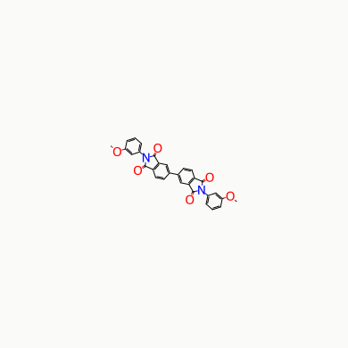 COc1cccc(N2C(=O)c3ccc(-c4ccc5c(c4)C(=O)N(c4cccc(OC)c4)C5=O)cc3C2=O)c1